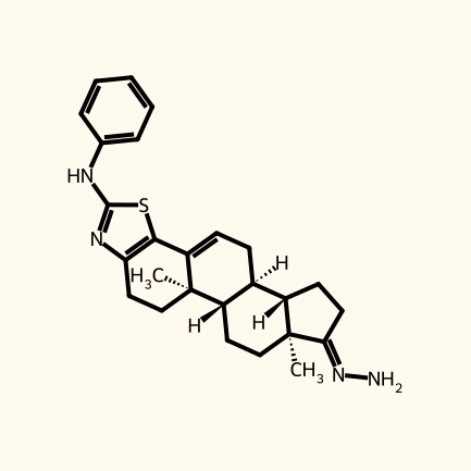 C[C@]12CCc3nc(Nc4ccccc4)sc3C1=CC[C@@H]1[C@@H]2CC[C@]2(C)/C(=N/N)CC[C@@H]12